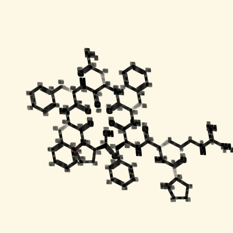 N=C(N)NCCC[C@H](NC(=O)[C@@H]1CCCN1)C(=O)N[C@@H](Cc1ccccc1)C(=O)N[C@@H](Cc1ccccc1)C(=O)N[C@@H](CC(N)=O)C(=O)N[C@@H](Cc1ccccc1)C(=O)N[C@@H](Cc1ccccc1)C(=O)N1CCC[C@@H]1C(=O)O